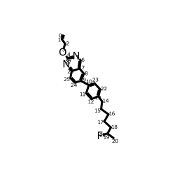 C=CCOc1ncc2cc(-c3ccc(CCCCCC(C)F)cc3)ccc2n1